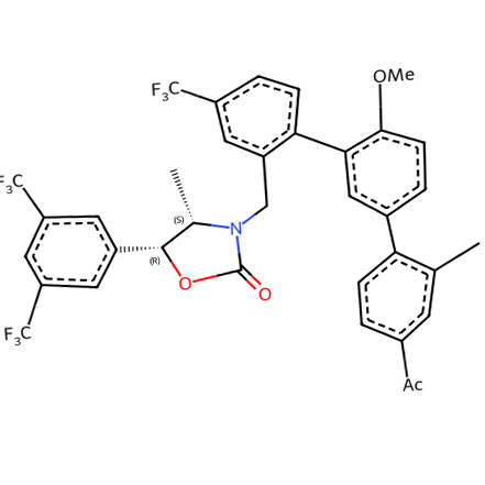 COc1ccc(-c2ccc(C(C)=O)cc2C)cc1-c1ccc(C(F)(F)F)cc1CN1C(=O)O[C@H](c2cc(C(F)(F)F)cc(C(F)(F)F)c2)[C@@H]1C